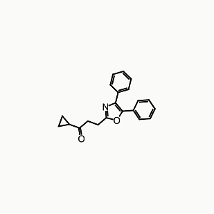 O=C(CCc1nc(-c2ccccc2)c(-c2ccccc2)o1)C1CC1